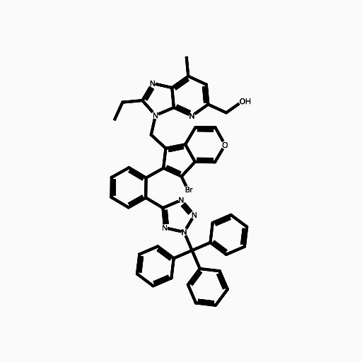 CCc1nc2c(C)cc(CO)nc2n1Cc1c2ccocc-2c(Br)c1-c1ccccc1-c1nnn(C(c2ccccc2)(c2ccccc2)c2ccccc2)n1